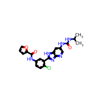 CC(C)NC(=O)Nc1cnc2nc(-c3cc(NC(=O)c4ccco4)ccc3Cl)[nH]c2c1